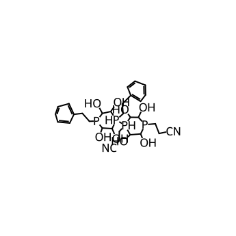 N#CCCP1C(O)C(O)[PH](CCC#N)([PH]2(CCc3ccccc3)C(O)C(O)P(CCc3ccccc3)C(O)C2O)C(O)C1O